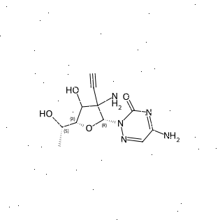 C#CC1(N)C(O)[C@@H]([C@H](C)O)O[C@H]1n1ncc(N)nc1=O